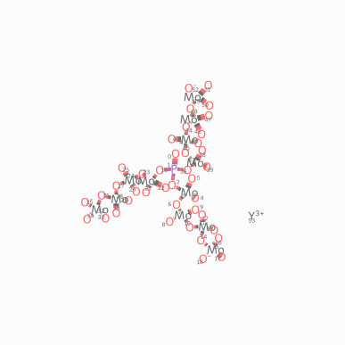 O=P([O][Mo](=[O])(=[O])[O][Mo](=[O])(=[O])[O][Mo](=[O])(=[O])[O][Mo](=[O])(=[O])[O-])([O][Mo](=[O])(=[O])[O][Mo](=[O])(=[O])[O][Mo](=[O])(=[O])[O][Mo](=[O])(=[O])[O-])[O][Mo](=[O])(=[O])[O][Mo](=[O])(=[O])[O][Mo](=[O])(=[O])[O][Mo](=[O])(=[O])[O-].[Y+3]